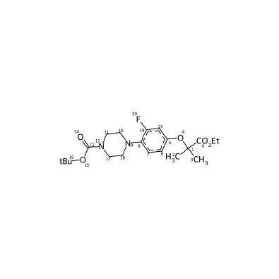 CCOC(=O)C(C)(C)Oc1ccc(N2CCN(C(=O)OC(C)(C)C)CC2)c(F)c1